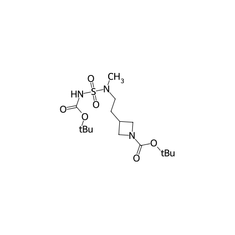 CN(CCC1CN(C(=O)OC(C)(C)C)C1)S(=O)(=O)NC(=O)OC(C)(C)C